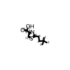 CC(C)(C)CCc1nc(C(=O)O)cs1